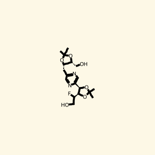 CC1(C)O[C@@H](Cc2cnc([C@H]3OC(C)(C)O[C@H]3C(F)CO)cn2)[C@@H](CO)O1